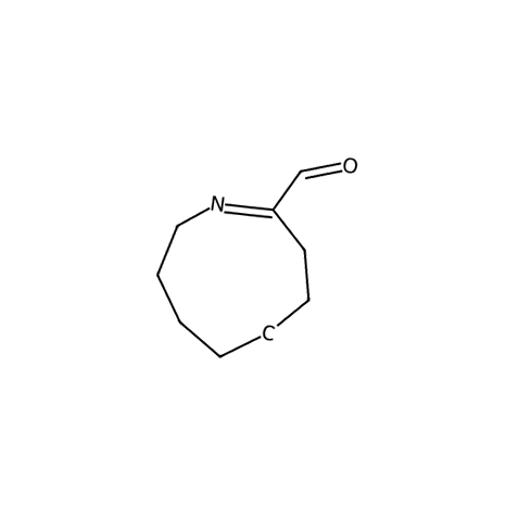 O=C/C1=N/CCCCCCC1